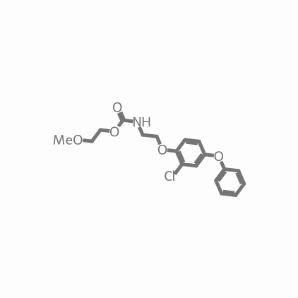 COCCOC(=O)NCCOc1ccc(Oc2ccccc2)cc1Cl